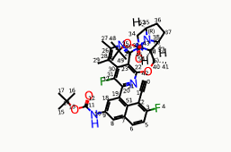 C#Cc1c(F)ccc2cc(NC(=O)OC(C)(C)C)cc(-c3nc4c5c(nc(C)c(C)c5c3F)N3C[C@H]5CC[C@@H]([C@H]3[C@H](C)O4)N5C(=O)OC(C)(C)C)c12